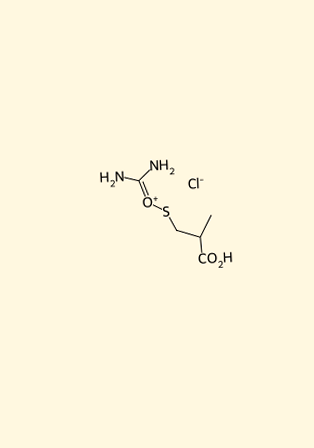 CC(CS[O+]=C(N)N)C(=O)O.[Cl-]